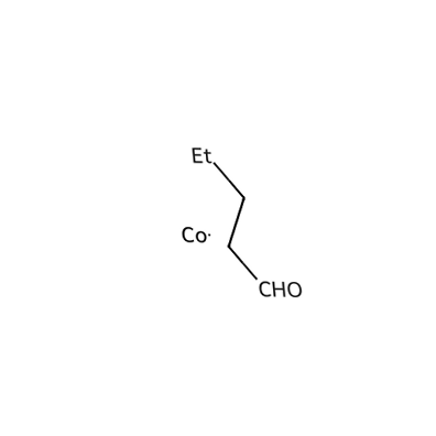 CCCCC=O.[Co]